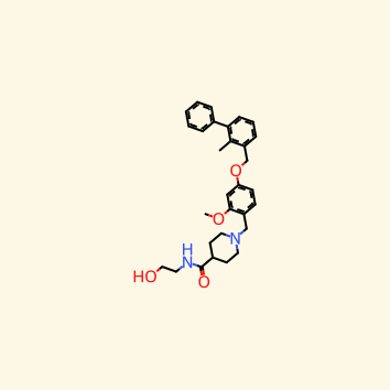 COc1cc(OCc2cccc(-c3ccccc3)c2C)ccc1CN1CCC(C(=O)NCCO)CC1